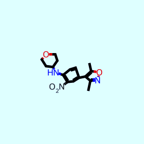 Cc1noc(C)c1-c1ccc(NC2CCOCC2)c([N+](=O)[O-])c1